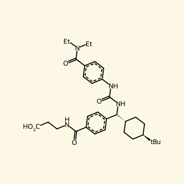 CCN(CC)C(=O)c1ccc(NC(=O)NC(c2ccc(C(=O)NCCC(=O)O)cc2)[C@H]2CC[C@H](C(C)(C)C)CC2)cc1